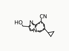 N#Cc1cc(C2CC2)cn2cc(CO)nc12